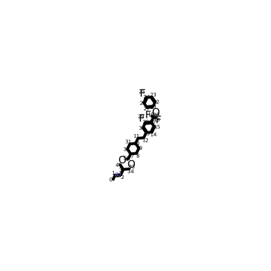 C/C=C/C1COC(C2CCC(CCc3ccc(C(F)(F)Oc4ccc(F)cc4)c(F)c3)CC2)OC1